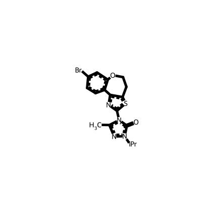 Cc1nn(C(C)C)c(=O)n1-c1nc2c(s1)CCOc1cc(Br)ccc1-2